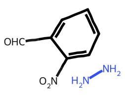 NN.O=Cc1ccccc1[N+](=O)[O-]